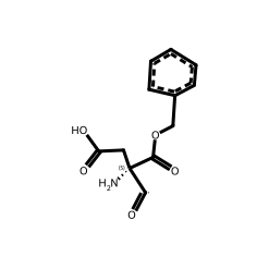 N[C@]([C]=O)(CC(=O)O)C(=O)OCc1ccccc1